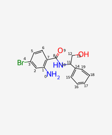 Nc1cc(Br)ccc1C(=O)NC(CO)c1ccccc1